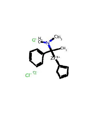 CN(C)[C](C)([Zr+3][C]1=CC=CC1)c1ccccc1.[Cl-].[Cl-].[Cl-]